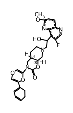 COc1ccc2ncc(F)c(C(O)CN3CC[C@H]4CN(C5=COC=C(C6=CC=CCC6)O5)C(=O)O[C@@H]4C3)c2n1